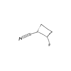 N#C[C]1CCC1F